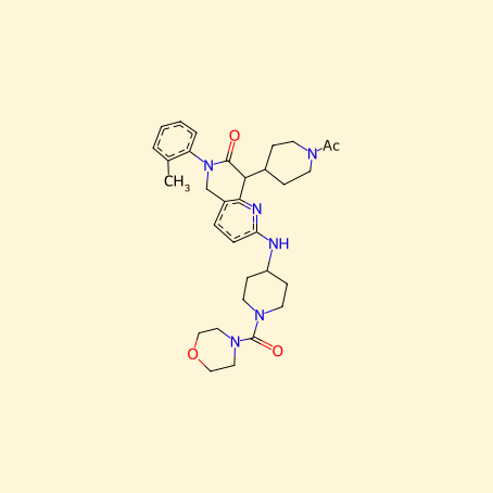 CC(=O)N1CCC(C2C(=O)N(c3ccccc3C)Cc3ccc(NC4CCN(C(=O)N5CCOCC5)CC4)nc32)CC1